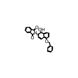 O=C1c2ccccc2C(=O)N1[C@H]1C=Cc2c(OCc3ccccc3)cccc2[C@H]1O